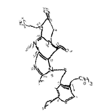 Cc1ccc(F)cc1Cn1c(Br)nc2nc3n(c(=O)c21)CC(=O)N3C